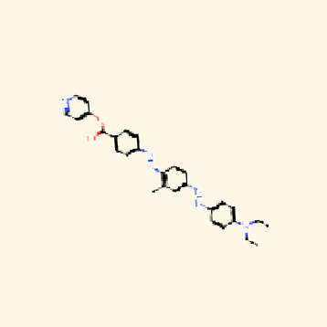 CCN(CC)c1ccc(/N=N/c2ccc(/N=N/c3ccc(C(=O)Oc4ccncc4)cc3)c(C)c2)cc1